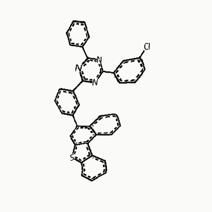 Clc1cccc(-c2nc(-c3ccccc3)nc(-c3cccc(-c4cc5sc6ccccc6c5c5ccccc45)c3)n2)c1